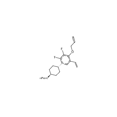 C=CCOc1c(C=C)cc([C@H]2CC[C@H](CCCCC)CC2)c(F)c1F